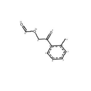 Cc1ccccc1C(=O)CO[C]=O